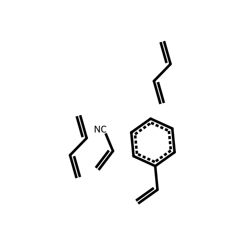 C=CC#N.C=CC=C.C=CC=C.C=Cc1ccccc1